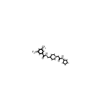 O=C(CN1CCC(CNC(=O)c2cc(C(F)(F)F)cc(C(F)(F)F)c2)CC1)NC1CCCC1